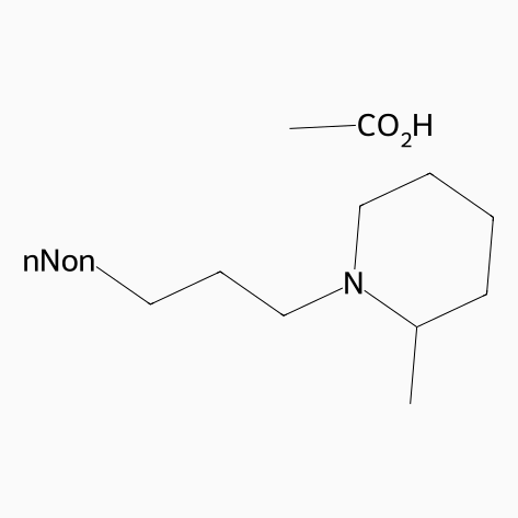 CC(=O)O.CCCCCCCCCCCCN1CCCCC1C